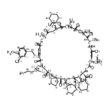 CC[C@H](C)[C@@H]1NC(=O)[C@H](CC(C)C)N(C)C(=O)C[C@@H](C(=O)N2CCCCC2)N(C)C(=O)[C@H](C2CCCCC2)N(C)C(=O)C2(CCCC2)NC(=O)[C@H](COCCC(C)C)N(C)C(=O)[C@H](CCc2ccc(C(F)(F)F)c(Cl)c2)NC(=O)CN(C)C(=O)[C@H](CC2CCCCC2)N(C)C(=O)CN(C)C(=O)CN(C)C1=O